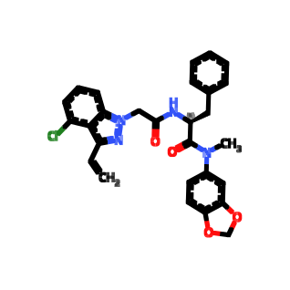 C=Cc1nn(CC(=O)N[C@@H](Cc2ccccc2)C(=O)N(C)c2ccc3c(c2)OCO3)c2cccc(Cl)c12